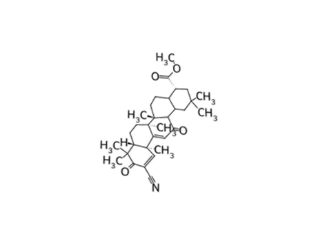 COC(=O)[C@@H]1CC(C)(C)CC2C1CC[C@]1(C)C2C(=O)C=C2[C@@]3(C)C=C(C#N)C(=O)C(C)(C)[C@@H]3CC[C@]21C